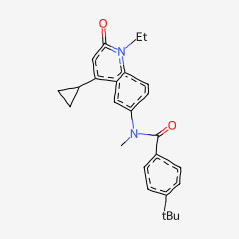 CCn1c(=O)cc(C2CC2)c2cc(N(C)C(=O)c3ccc(C(C)(C)C)cc3)ccc21